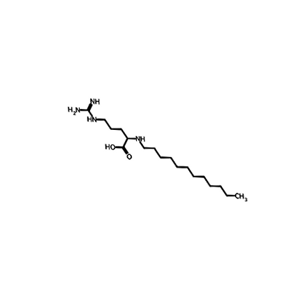 CCCCCCCCCCCCNC(CCCNC(=N)N)C(=O)O